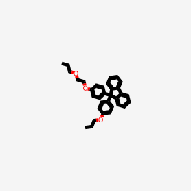 CCCOCCOc1ccc(C2(c3ccc(OCCC)cc3)c3ccccc3-c3ccccc32)cc1